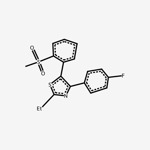 CCc1nc(-c2ccc(F)cc2)c(-c2ccccc2S(C)(=O)=O)s1